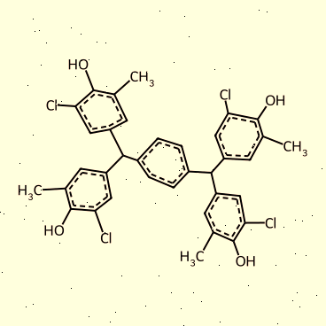 Cc1cc(C(c2ccc(C(c3cc(C)c(O)c(Cl)c3)c3cc(C)c(O)c(Cl)c3)cc2)c2cc(C)c(O)c(Cl)c2)cc(Cl)c1O